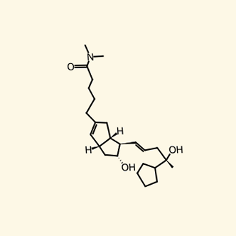 CN(C)C(=O)CCCCC1=C[C@H]2C[C@@H](O)[C@H](/C=C/C[C@](C)(O)C3CCCC3)[C@H]2C1